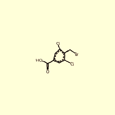 O=C(O)c1cc(Cl)c(CBr)c(Cl)c1